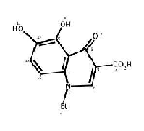 CCn1cc(C(=O)O)c(=O)c2c(O)c(O)ccc21